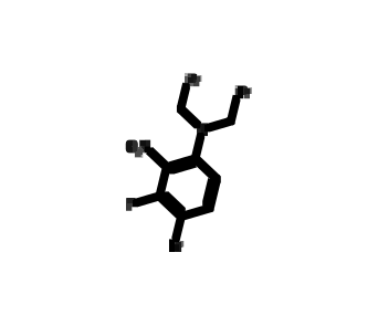 CC(C)CN(CC(C)C)c1ccc(Br)c(F)c1[N+](=O)[O-]